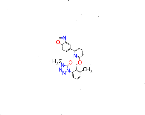 Cc1cccc(-n2nnn(C)c2=O)c1COc1cccc(-c2ccc3ocnc3c2)n1